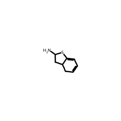 NC1CC2CC=CC=C2S1